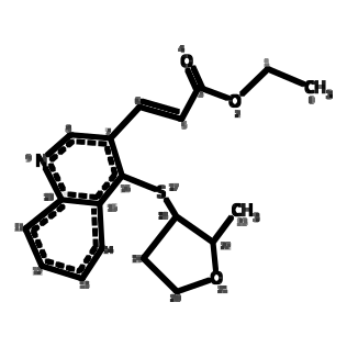 CCOC(=O)C=Cc1cnc2ccccc2c1SC1CCOC1C